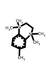 Cc1ccc2c(c1)[Si](C)(C)CC[Si]2(C)C